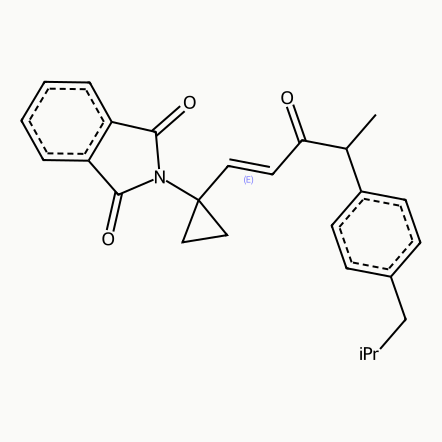 CC(C)Cc1ccc(C(C)C(=O)/C=C/C2(N3C(=O)c4ccccc4C3=O)CC2)cc1